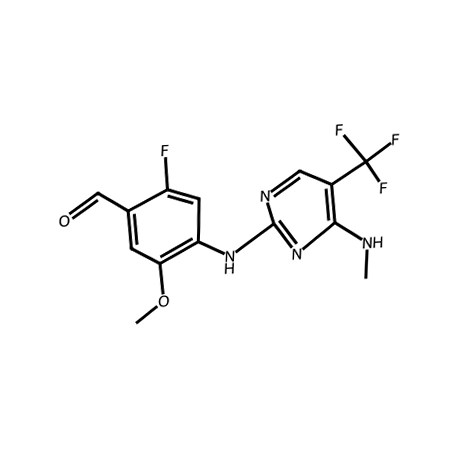 CNc1nc(Nc2cc(F)c(C=O)cc2OC)ncc1C(F)(F)F